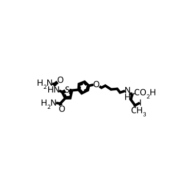 CC(I)C[C@H](NCCCCCOc1ccc(-c2cc(C(N)=O)c(NC(N)=O)s2)cc1)C(=O)O